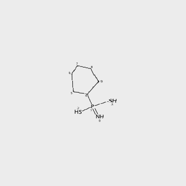 N=P(S)(S)C1CCCCC1